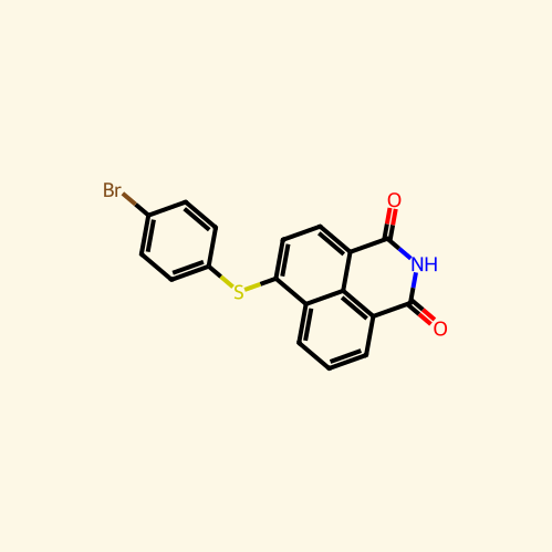 O=C1NC(=O)c2ccc(Sc3ccc(Br)cc3)c3cccc1c23